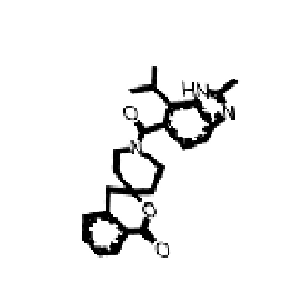 Cc1nc2ccc(C(=O)N3CCC4(CC3)Cc3ccccc3C(=O)O4)c(C(C)C)c2[nH]1